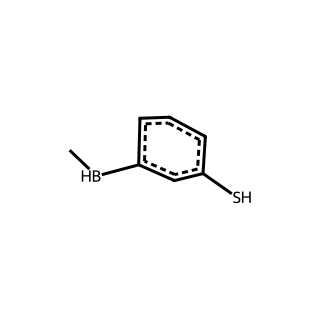 CBc1cccc(S)c1